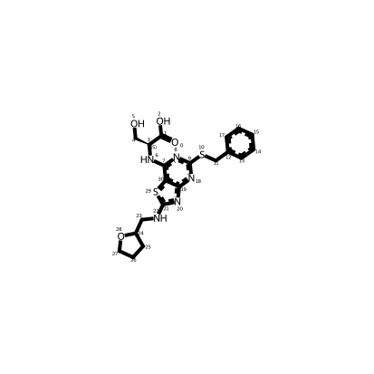 O=C(O)[C@H](CO)Nc1nc(SCc2ccccc2)nc2nc(NCC3CCCO3)sc12